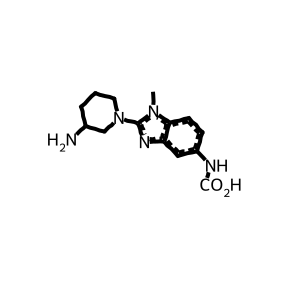 Cn1c(N2CCCC(N)C2)nc2cc(NC(=O)O)ccc21